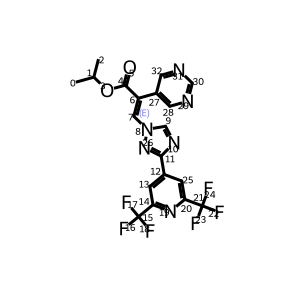 CC(C)OC(=O)/C(=C/n1cnc(-c2cc(C(F)(F)F)nc(C(F)(F)F)c2)n1)c1cncnc1